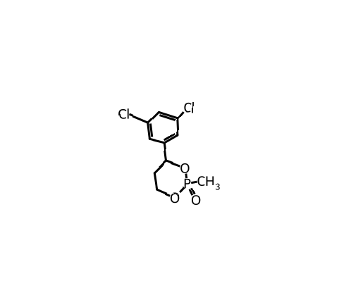 CP1(=O)OCCC(c2cc(Cl)cc(Cl)c2)O1